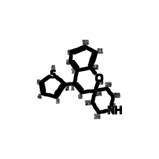 C1=C(c2cccs2)c2ccccc2OC12CCNCC2